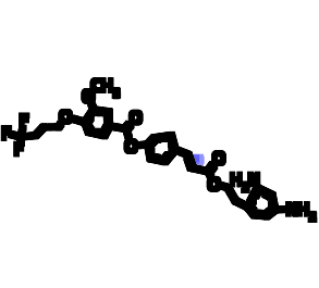 COc1cc(C(=O)Oc2ccc(/C=C/C(=O)OCCc3ccc(N)cc3N)cc2)ccc1OCCCC(F)(F)F